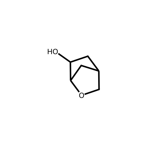 OC1CC2COC1C2